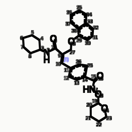 O=C(NC1CCCCC1)/C(=C/c1ccc(C(=O)NOC2CCCCO2)cc1)COc1cccc2ccccc12